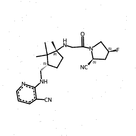 CC1(C)[C@@H](CNc2ncccc2C#N)CC[C@@]1(C)NCC(=O)N1C[C@@H](F)C[C@H]1C#N